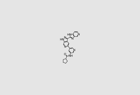 O=C(Nc1cncc(-c2cc3c(-c4nc5cnccc5[nH]4)n[nH]c3cn2)c1)C1CCCC1